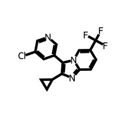 FC(F)(F)c1ccc2nc(C3CC3)c(-c3cncc(Cl)c3)n2c1